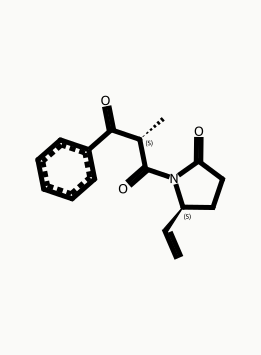 C=C[C@@H]1CCC(=O)N1C(=O)[C@@H](C)C(=O)c1ccccc1